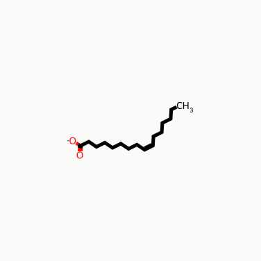 CCCCCC/C=C\CCCCCCCC([O])=O